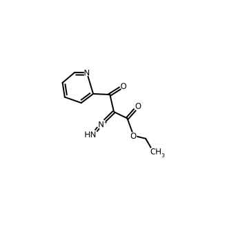 CCOC(=O)C(=[N+]=N)C(=O)c1ccccn1